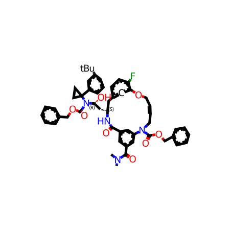 CN(C)C(=O)c1cc2cc(c1)N(C(=O)OCc1ccccc1)CC=CCOc1cc(ccc1F)C[C@@H](C[C@@H](O)N(C(=O)OCc1ccccc1)C1(c3cccc(C(C)(C)C)c3)CC1)NC2=O